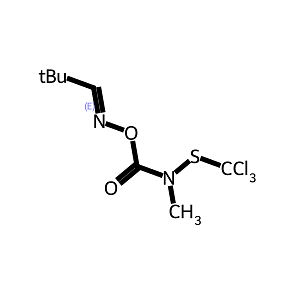 CN(SC(Cl)(Cl)Cl)C(=O)O/N=C/C(C)(C)C